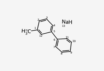 Cc1cccc(-c2ccccc2)c1.[NaH]